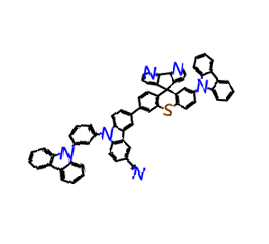 N#Cc1ccc2c(c1)c1cc(-c3ccc4c(c3)Sc3ccc(-n5c6ccccc6c6ccccc65)cc3C43c4cccnc4-c4ncccc43)ccc1n2-c1cccc(-n2c3ccccc3c3ccccc32)c1